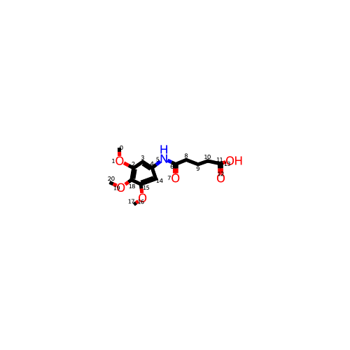 COc1cc(NC(=O)CCCC(=O)O)cc(OC)c1OC